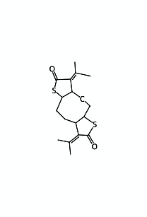 CC(C)=C1C(=O)SC2CCC3C(=C(C)C)C(=O)SC3CCC12